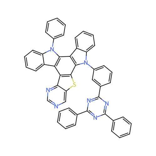 c1ccc(-c2nc(-c3ccccc3)nc(-c3cccc(-n4c5ccccc5c5c4c4sc6cncnc6c4c4c6ccccc6n(-c6ccccc6)c45)c3)n2)cc1